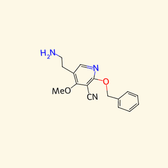 COc1c(CCN)cnc(OCc2ccccc2)c1C#N